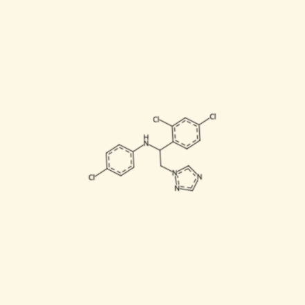 Clc1ccc(NC(Cn2cncn2)c2ccc(Cl)cc2Cl)cc1